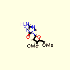 COCC1OC(n2cnc(N)nc2=O)CC1OC